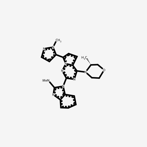 CNc1nc2ccccc2n1-c1nc(N2CCOC[C@H]2C)c2ccc(-c3ccnn3C)n2n1